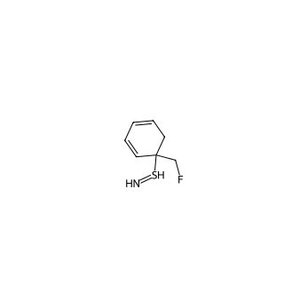 N=[SH]C1(CF)C=CC=CC1